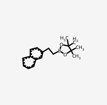 CC1(C)OB(CCc2ccc3ccccc3c2)OC1(C)C